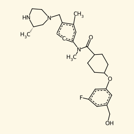 Cc1cc(N(C)C(=O)C2CCC(Oc3cc(F)cc(CO)c3)CC2)ccc1CN1CCN[C@@H](C)C1